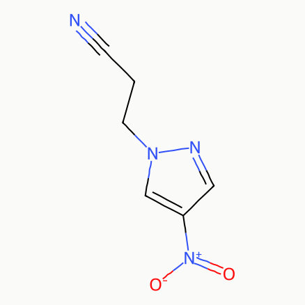 N#CCCn1cc([N+](=O)[O-])cn1